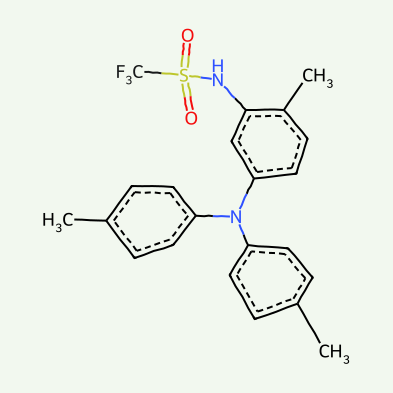 Cc1ccc(N(c2ccc(C)cc2)c2ccc(C)c(NS(=O)(=O)C(F)(F)F)c2)cc1